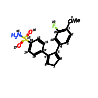 COc1ccc(C2=CCC=C2c2ccc(S(N)(=O)=O)cc2)cc1F